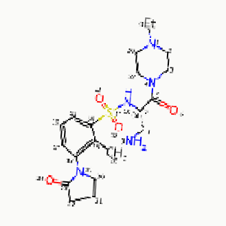 CCN1CCN(C(=O)[C@H](CN)NS(=O)(=O)c2cccc(N3CCCC3=O)c2C)CC1